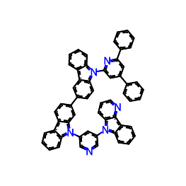 c1ccc(-c2cc(-c3ccccc3)nc(-n3c4ccccc4c4cc(-c5ccc6c7ccccc7n(-c7cncc(-n8c9ccccc9c9ncccc98)c7)c6c5)ccc43)c2)cc1